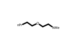 CCCCCOCCNC